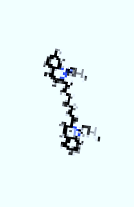 CN1/C(=C/C=C/C=C/C=C/c2ccc3ccccc3[n+]2C)C=Cc2ccccc21